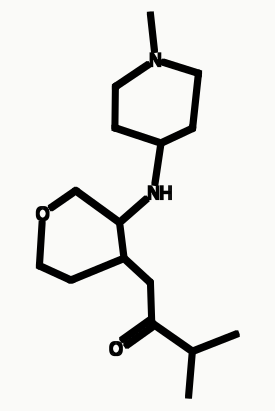 CC(C)C(=O)CC1CCOCC1NC1CCN(C)CC1